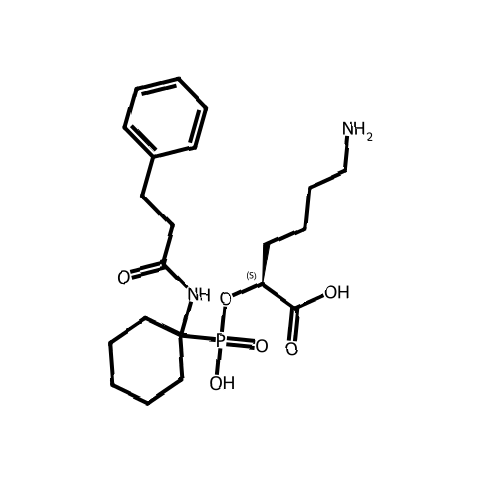 NCCCC[C@H](OP(=O)(O)C1(NC(=O)CCc2ccccc2)CCCCC1)C(=O)O